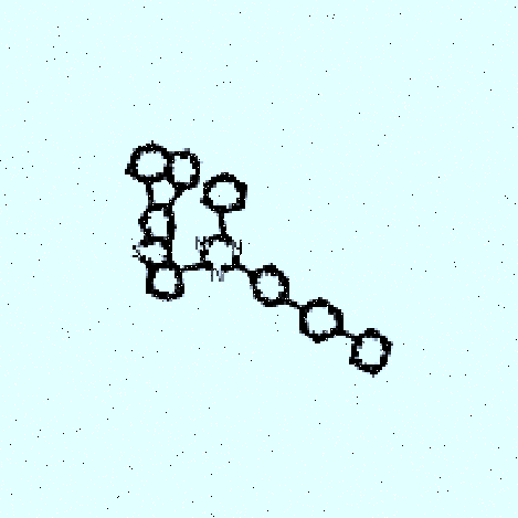 c1ccc(-c2ccc(-c3ccc(-c4nc(-c5ccccc5)nc(-c5cccc6sc7cc8c(cc7c56)-c5cccc6cccc-8c56)n4)cc3)cc2)cc1